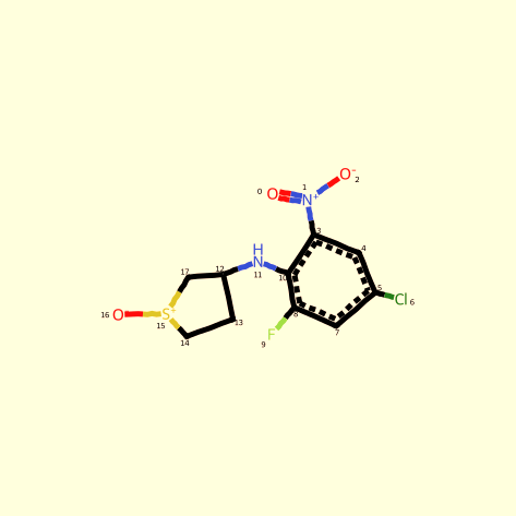 O=[N+]([O-])c1cc(Cl)cc(F)c1NC1CC[S+]([O-])C1